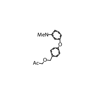 CNc1cccc(Oc2ccc(COCC(C)=O)cc2)c1